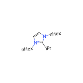 CCCCCCn1cc[n+](CCCCCC)c1C(C)C